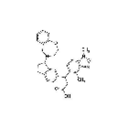 Cc1c(C(CC(=O)O)c2ccc3c(c2)C(N2CCOc4ccccc4C2)CC3)ccc2c1nnn2C